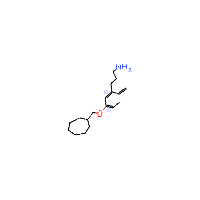 C=C/C(=C\C(=C/C)OCC1CCCCCC1)CCCN